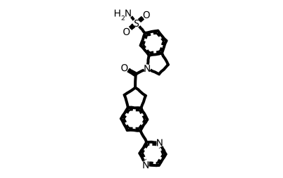 NS(=O)(=O)c1ccc2c(c1)N(C(=O)C1Cc3ccc(-c4cnccn4)cc3C1)CC2